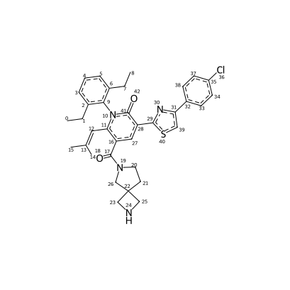 CCc1cccc(CC)c1-n1c(C=C(C)C)c(C(=O)N2CCC3(CNC3)C2)cc(-c2nc(-c3ccc(Cl)cc3)cs2)c1=O